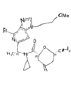 CCc1nc([C@@H](C)N(C(=O)[C@H]2CNC[C@@H](C)O2)C2CC2)cc2c1ncn2CCCOC